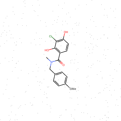 COc1ccc(CN(C)C(=O)c2ccc(O)c(Cl)c2O)cc1